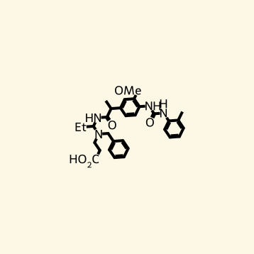 CCC(NC(=O)C(C)c1ccc(NC(=O)Nc2ccccc2C)c(OC)c1)N(CCC(=O)O)Cc1ccccc1